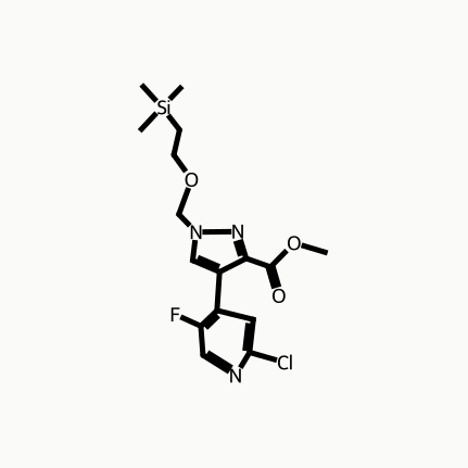 COC(=O)c1nn(COCC[Si](C)(C)C)cc1-c1cc(Cl)ncc1F